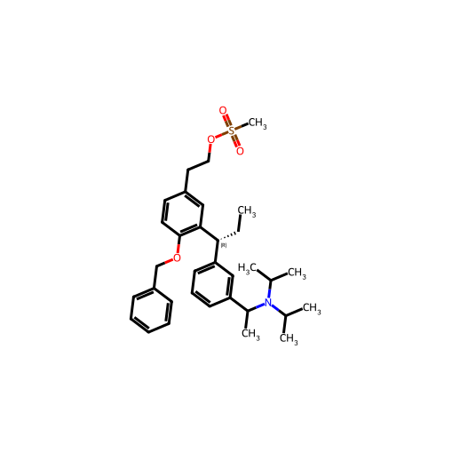 CC[C@H](c1cccc(C(C)N(C(C)C)C(C)C)c1)c1cc(CCOS(C)(=O)=O)ccc1OCc1ccccc1